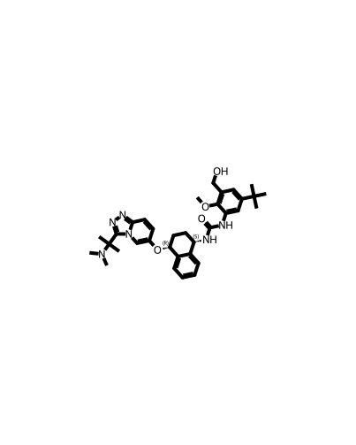 COc1c(CO)cc(C(C)(C)C)cc1NC(=O)N[C@H]1CC[C@@H](Oc2ccc3nnc(C(C)(C)N(C)C)n3c2)c2ccccc21